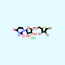 Cl.O=c1ccn([C@@H]2O[C@H](COCc3sc(Br)c(Br)c3Br)[C@@H](O)[C@H]2O)c(=O)[nH]1